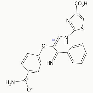 N=C(/C(=C\Nc1nc(C(=O)O)cs1)Oc1ccc([S+](N)[O-])cc1)c1ccccc1